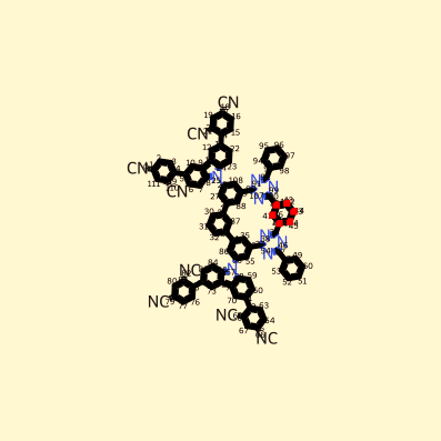 [C-]#[N+]c1ccc(-c2ccc3c(c2)c2cc(-c4ccc(C#N)cc4[N+]#[C-])ccc2n3-c2cc(-c3cccc(-c4cc(-c5nc(-c6ccccc6)nc(-c6ccccc6)n5)cc(-n5c6ccc(-c7ccc([N+]#[C-])cc7C#N)cc6c6cc(-c7ccc(C#N)cc7[N+]#[C-])ccc65)c4)c3)cc(-c3nc(-c4ccccc4)nc(-c4ccccc4)n3)c2)c(C#N)c1